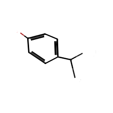 CC(=O)OC(C(=O)O)c1ccc(Br)cc1